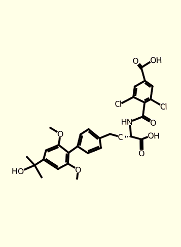 COc1cc(C(C)(C)O)cc(OC)c1-c1ccc(CC[C@H](NC(=O)c2c(Cl)cc(C(=O)O)cc2Cl)C(=O)O)cc1